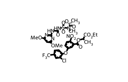 CCOC(=O)C(C)OC(=O)c1cc(Oc2ccc(C(F)(F)F)cc2Cl)ccc1[N+](=O)[O-].COc1cc(OC)nc(NC(=O)NS(=O)(=O)N(C)S(C)(=O)=O)n1